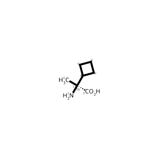 C[C@@](N)(C(=O)O)C1CCC1